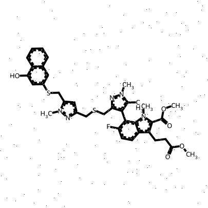 COC(=O)CCc1c(C(=O)OC)n(C)c2c(-c3c(CSCc4cc(CSc5cc(O)c6ccccc6c5)n(C)n4)nn(C)c3C)c(F)ccc12